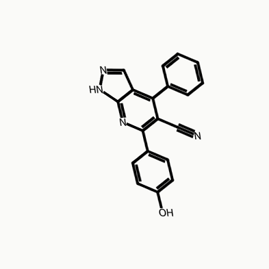 N#Cc1c(-c2ccc(O)cc2)nc2[nH]ncc2c1-c1ccccc1